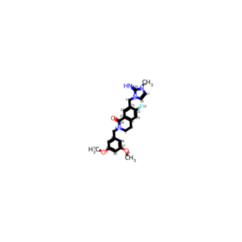 COc1cc(CN2CCc3cc(F)c(Cn4ccn(C)c4=N)cc3C2=O)cc(OC)c1